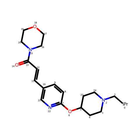 CC(C)CN1CCC(Oc2ccc(C=CC(=O)N3CCOCC3)cn2)CC1